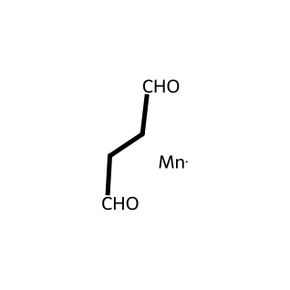 O=CCCC=O.[Mn]